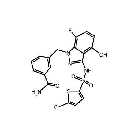 NC(=O)c1cccc(Cn2nc(NS(=O)(=O)c3ccc(Cl)s3)c3c(O)ccc(F)c32)c1